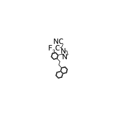 N#CCC(N1CCN=C1c1ccccc1CCc1cccc2ccccc12)C(F)(F)F